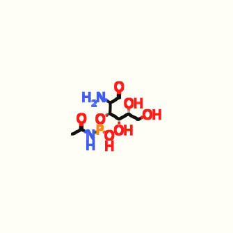 CC(=O)NP(O)O[C@@H]([C@@H](O)[C@H](O)CO)[C@@H](N)C=O